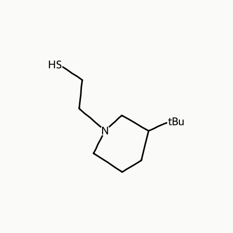 CC(C)(C)C1CCCN(CCS)C1